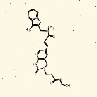 CCOC(=O)CCN1Cc2cc(/C=C/C(=O)N(C)Cc3sc4ccccc4c3C)cnc2NC1=O